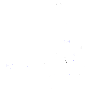 COc1ccc(CNC(=O)N(C(C)C)N2CC(=O)N3C(C)C(=O)N(Cc4cccc5sc(N)nc45)C[C@@H]32)cc1